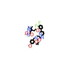 COc1ccc(CN(Cc2cnc3ccc(-c4ccc(F)c(F)c4OCCc4c(C(=O)N(C)OC)nn(C)c4C)cn23)C(=O)OC(C)(C)C)cc1